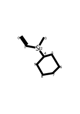 C=C[Si](C)C1CCCCC1